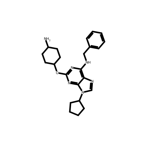 NC1CCC(Oc2nc(NCc3ccccc3)c3ncn(C4CCCC4)c3n2)CC1